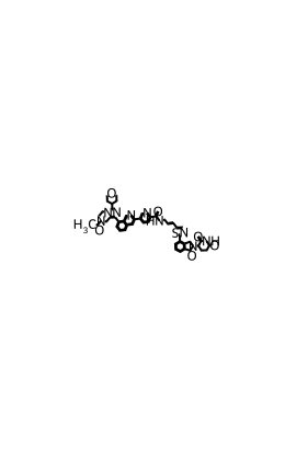 CC(=O)N1CCn2c(C3CCOCC3)nc(-c3cccc4cc(-c5ccc(C(=O)NC/C=C/c6cnc(-c7cccc8c7CN(C7CCC(=O)NC7=O)C8=O)s6)nc5)ncc34)c2C1